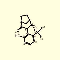 O=C1C2CCC(C2)C(=O)C1c1c(O)cccc1C(F)(F)F